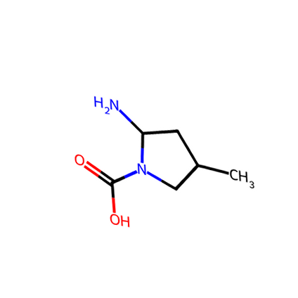 CC1CC(N)N(C(=O)O)C1